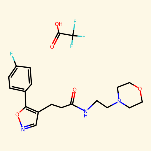 O=C(CCc1cnoc1-c1ccc(F)cc1)NCCN1CCOCC1.O=C(O)C(F)(F)F